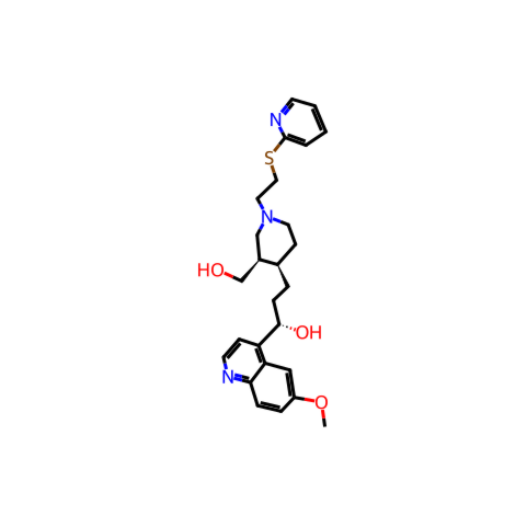 COc1ccc2nccc([C@@H](O)CC[C@@H]3CCN(CCSc4ccccn4)C[C@@H]3CO)c2c1